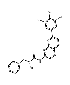 O=C(Nc1cnc2ccc(-c3cc(Cl)c(O)c(Cl)c3)cc2n1)N(S)Cc1ccccc1